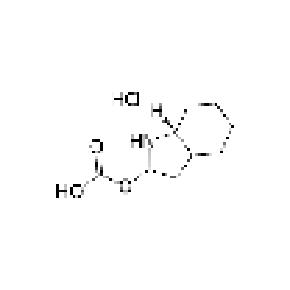 Cl.O=C(O)OC1CC2CCCC[C@H]2N1